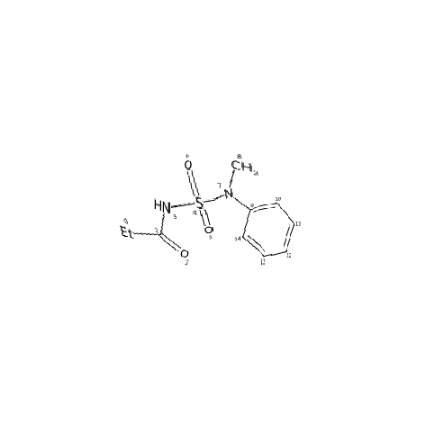 CCC(=O)NS(=O)(=O)N(C)c1ccccc1